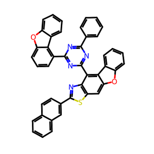 c1ccc(-c2nc(-c3cccc4oc5ccccc5c34)nc(-c3c4nc(-c5ccc6ccccc6c5)sc4cc4oc5ccccc5c34)n2)cc1